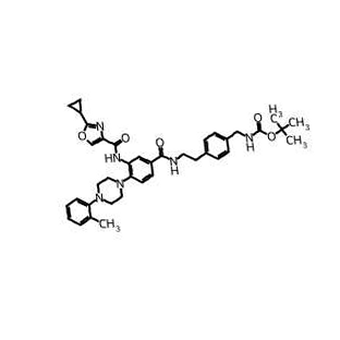 Cc1ccccc1N1CCN(c2ccc(C(=O)NCCc3ccc(CNC(=O)OC(C)(C)C)cc3)cc2NC(=O)c2coc(C3CC3)n2)CC1